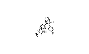 CC(Nc1nccc(-c2c(-c3ccc(F)cc3)c(=O)n3n2CCC3)n1)C(=O)N(C)C